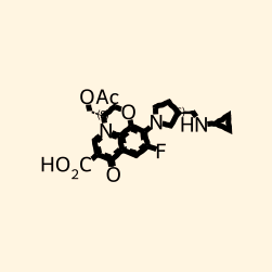 CC(=O)OC[C@@H]1COc2c(N3CC[C@@H](CNC4CC4)C3)c(F)cc3c(=O)c(C(=O)O)cn1c23